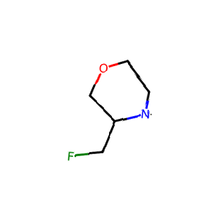 FCC1COCC[N]1